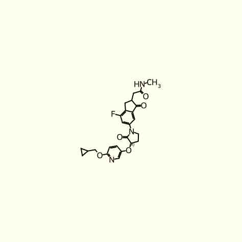 CNC(=O)CC1Cc2c(F)cc(N3CC[C@@H](Oc4ccc(OCC5CC5)nc4)C3=O)cc2C1=O